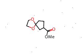 COC(=O)C1CCC2(C1)OCCO2